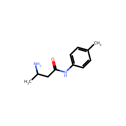 Cc1ccc(NC(=O)CC(C)N)cc1